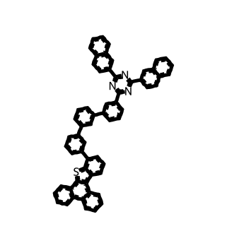 c1cc(-c2cccc(-c3nc(-c4ccc5ccccc5c4)nc(-c4ccc5ccccc5c4)n3)c2)cc(-c2cccc(-c3cccc4c3sc3c5ccccc5c5ccccc5c43)c2)c1